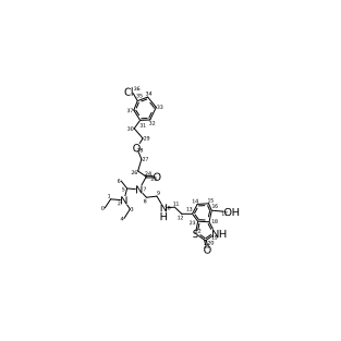 CCN(CC)C(C)N(CCNCCc1ccc(O)c2[nH]c(=O)sc12)C(=O)CCOCCc1cccc(Cl)c1